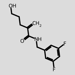 C=C(CCCO)C(=O)NCc1cc(F)cc(F)c1